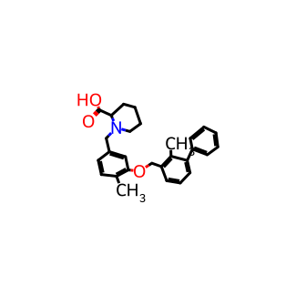 Cc1ccc(CN2CCCCC2C(=O)O)cc1OCc1cccc(-c2ccccc2)c1C